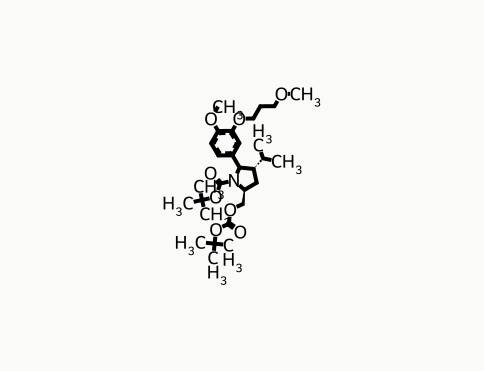 COCCCOc1cc(C2[C@H](C(C)C)C[C@@H](COC(=O)OC(C)(C)C)N2C(=O)OC(C)(C)C)ccc1OC